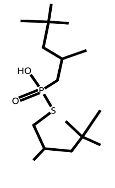 CC(CSP(=O)(O)CC(C)CC(C)(C)C)CC(C)(C)C